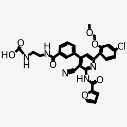 COCOc1cc(Cl)ccc1-c1cc(-c2cccc(C(=O)NCCNC(=O)O)c2)c(C#N)c(NC(=O)c2ccco2)n1